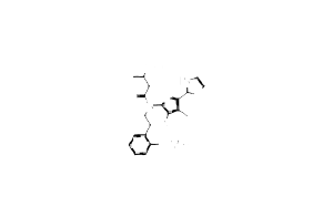 COc1ccccc1CCN(C(=O)CC(C)C(=O)O)c1sc(C2NC=CO2)c(C)c1C(C)=O